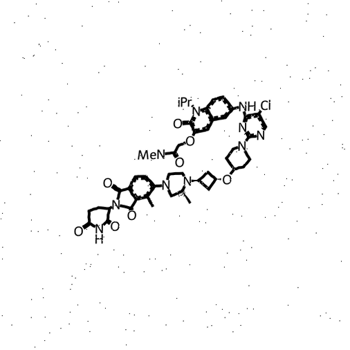 CNC(=O)COc1cc2cc(Nc3nc(N4CCC(O[C@H]5C[C@H](N6CCN(c7ccc8c(c7C)C(=O)N(C7CCC(=O)NC7=O)C8=O)C[C@@H]6C)C5)CC4)ncc3Cl)ccc2n(C(C)C)c1=O